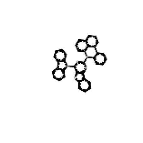 c1ccc2c(c1)-c1cccc3cccc(c13)N2c1nc(-n2c3ccccc3c3ccccc32)c2sc3ccccc3c2n1